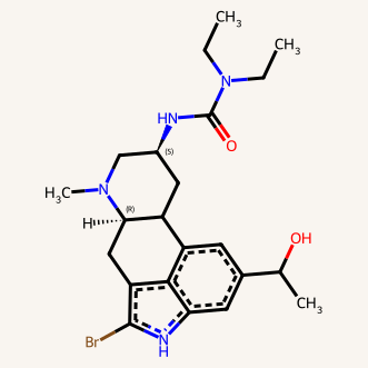 CCN(CC)C(=O)N[C@H]1CC2c3cc(C(C)O)cc4[nH]c(Br)c(c34)C[C@H]2N(C)C1